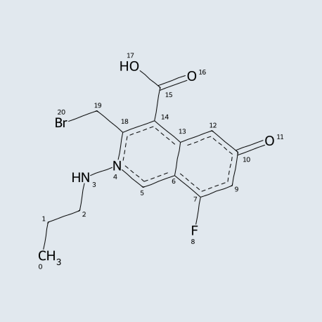 CCCNn1cc2c(F)cc(=O)cc-2c(C(=O)O)c1CBr